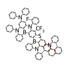 Fc1ccccc1N1c2cc(N(c3ccccc3)c3ccccc3)cc3c2B(c2ccccc2N3c2ccccc2)c2cc3c(c(C(F)(F)F)c21)Sc1cc(N(c2ccccc2)c2ccccc2-c2ccccc2)cc2c1B3c1ccccc1N2c1ccccc1-c1ccccc1